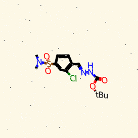 CN(C)S(=O)(=O)c1ccc(C=NNC(=O)OC(C)(C)C)c(Cl)c1